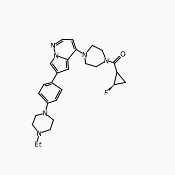 CCN1CCN(c2ccc(-c3cc4c(N5CCN(C(=O)C6C[C@H]6F)CC5)ccnn4c3)cc2)CC1